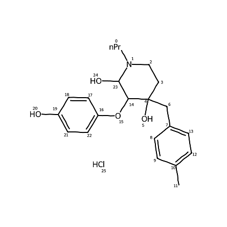 CCCN1CCC(O)(Cc2ccc(C)cc2)C(Oc2ccc(O)cc2)C1O.Cl